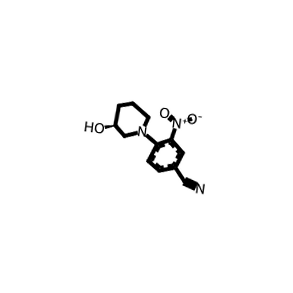 N#Cc1ccc(N2CCC[C@H](O)C2)c([N+](=O)[O-])c1